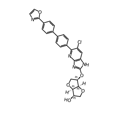 O[C@@H]1CO[C@H]2[C@@H]1OC[C@H]2Oc1nc2nc(-c3ccc(-c4ccc(-c5ncco5)cc4)cc3)c(Cl)cc2[nH]1